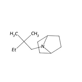 CCC(C)(C)CN1C2CCC1CC2